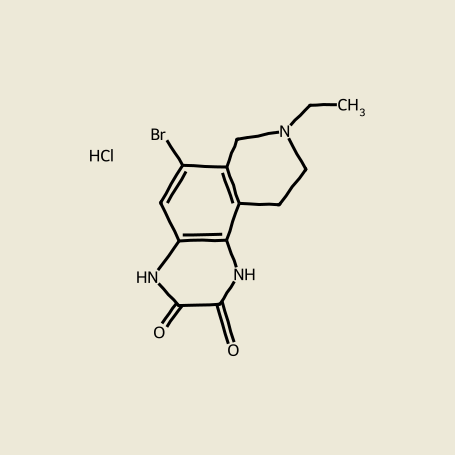 CCN1CCc2c(c(Br)cc3[nH]c(=O)c(=O)[nH]c23)C1.Cl